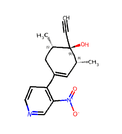 C#C[C@]1(O)[C@H](C)C=C(c2ccncc2[N+](=O)[O-])C[C@@H]1C